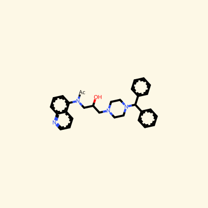 CC(=O)N(CC(O)CN1CCN(C(c2ccccc2)c2ccccc2)CC1)c1cccc2ncccc12